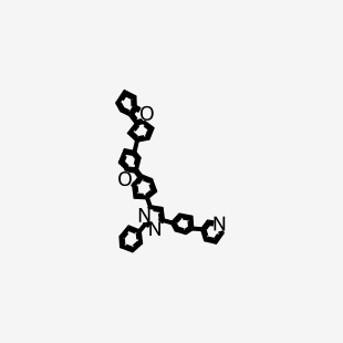 c1ccc(-c2nc(-c3ccc(-c4cccnc4)cc3)cc(-c3ccc4c(c3)oc3ccc(-c5ccc6oc7ccccc7c6c5)cc34)n2)cc1